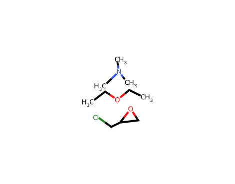 CCOCC.CN(C)C.ClCC1CO1